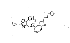 Cc1oc(C2CC2)nc1COc1cccc2sc(CCC[O])cc12